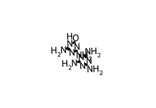 Nc1nc(N)[nH]c(=O)n1.Nc1nc(N)nc(N)n1